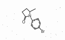 CC1CCC(=O)N1c1ccc(Br)cc1